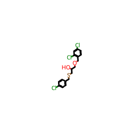 OC(COCc1ccc(Cl)cc1Cl)CSCc1ccc(Cl)cc1